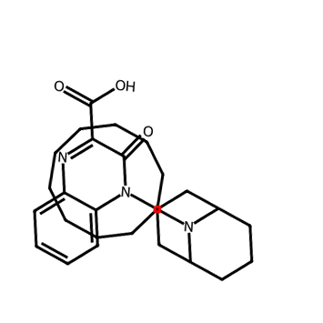 O=C(O)c1nc2ccccc2n(C2CC3CCCC(C2)N3C2CCCCCCCCC2)c1=O